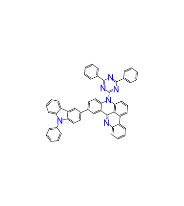 c1ccc(-c2nc(-c3ccccc3)nc(N3c4ccc(-c5ccc6c(c5)c5ccccc5n6-c5ccccc5)cc4-c4nc5ccccc5c5cccc3c45)n2)cc1